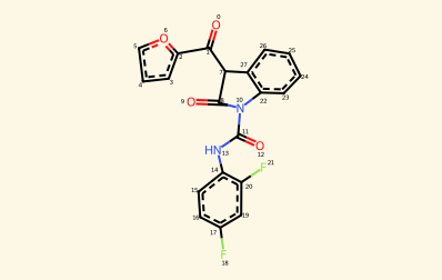 O=C(c1ccco1)C1C(=O)N(C(=O)Nc2ccc(F)cc2F)c2ccccc21